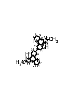 Cc1nc2c3cccnc3c3cc(-c4ccc5c(c4)c4ncccc4c4nc(C)[nH]c54)ccc3c2[nH]1